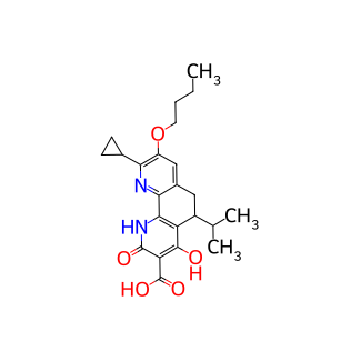 CCCCOc1cc2c(nc1C1CC1)-c1[nH]c(=O)c(C(=O)O)c(O)c1C(C(C)C)C2